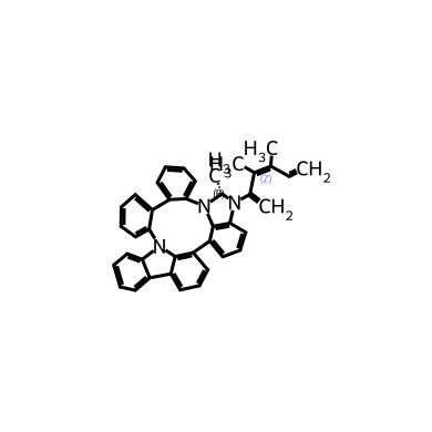 C=C/C(C)=C(/C)C(=C)N1c2cccc3c2N(c2ccccc2-c2ccccc2-n2c4ccccc4c4cccc-3c42)[C@@H]1C